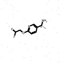 C[C@@H](N)c1ccc(OCC(F)F)nc1